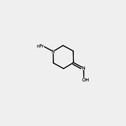 CCCN1CCC(=NO)CC1